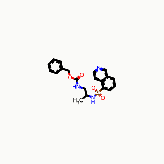 CC(CNC(=O)OCc1ccccc1)NS(=O)(=O)c1cccc2cnccc12